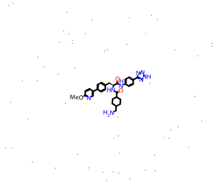 COc1ccc(-c2ccc(C[C@H](NC(=O)C3CCC(CN)CC3)C(=O)Nc3ccc(-c4nn[nH]n4)cc3)cc2)cn1